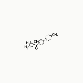 CCC(C)(N)C(=O)c1ccc(N2CCN(C)CC2)cc1